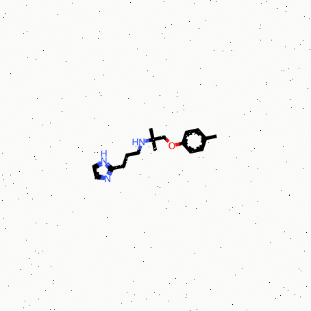 Cc1ccc(OCC(C)(C)NCCCc2ncc[nH]2)cc1